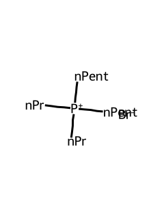 CCCCC[P+](CCC)(CCC)CCCCC.[Br-]